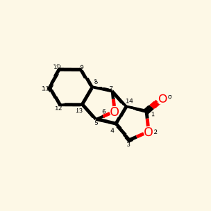 O=C1OCC2C3OC(C4CCCCC43)C12